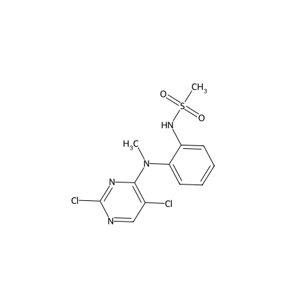 CN(c1ccccc1NS(C)(=O)=O)c1nc(Cl)ncc1Cl